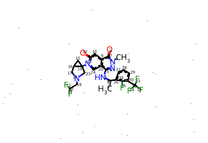 C[C@@H](Nc1nn(C)c(=O)c2cc(=O)n(C34CC3CN(CC(F)F)C4)cc12)c1cccc(C(F)(F)F)c1F